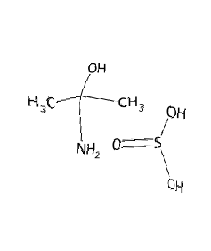 CC(C)(N)O.O=S(O)O